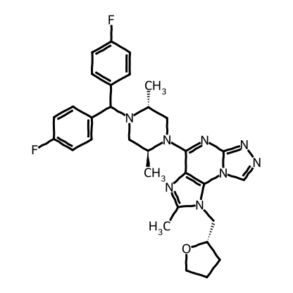 Cc1nc2c(N3C[C@@H](C)N(C(c4ccc(F)cc4)c4ccc(F)cc4)C[C@@H]3C)nc3nncn3c2n1C[C@@H]1CCCO1